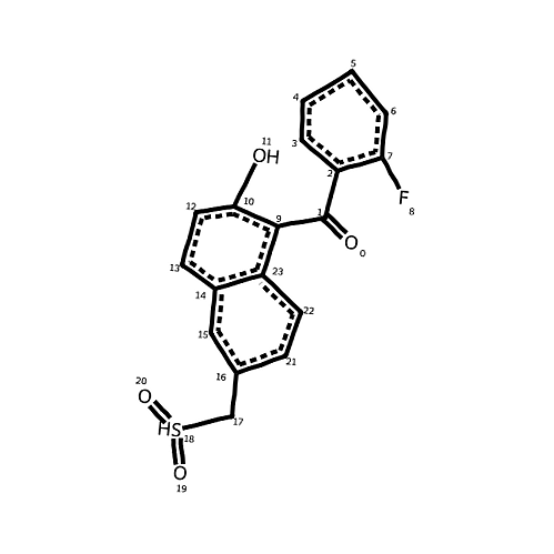 O=C(c1ccccc1F)c1c(O)ccc2cc(C[SH](=O)=O)ccc12